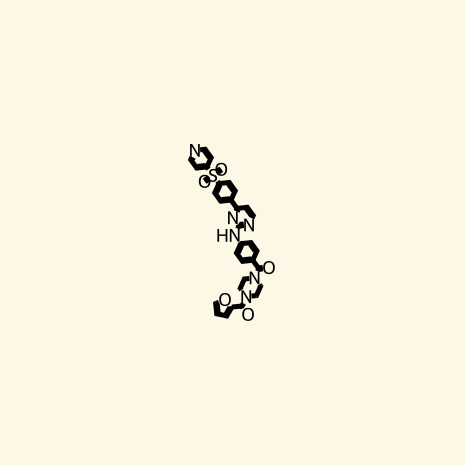 O=C(c1ccc(Nc2nccc(-c3ccc(S(=O)(=O)c4ccncc4)cc3)n2)cc1)N1CCN(C(=O)c2ccco2)CC1